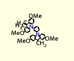 C=C1c2cc(OC)ccc2N(c2cccc(N3c4ccc(OC)cc4C(C)(C)c4cc(OC)ccc43)c2)c2ccc(OC)cc21